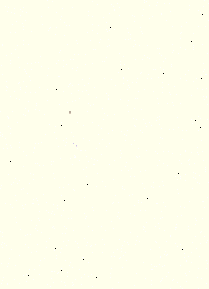 CCOC(=O)c1sc(C(C)C)nc1C=O